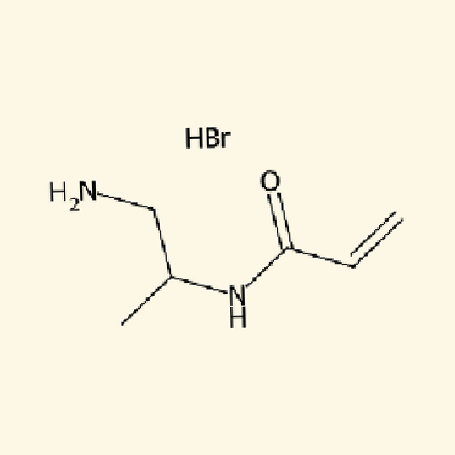 Br.C=CC(=O)NC(C)CN